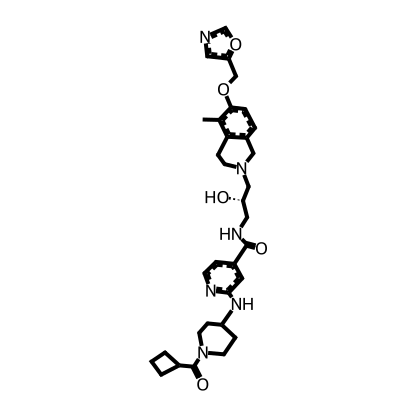 Cc1c(OCc2cnco2)ccc2c1CCN(C[C@@H](O)CNC(=O)c1ccnc(NC3CCN(C(=O)C4CCC4)CC3)c1)C2